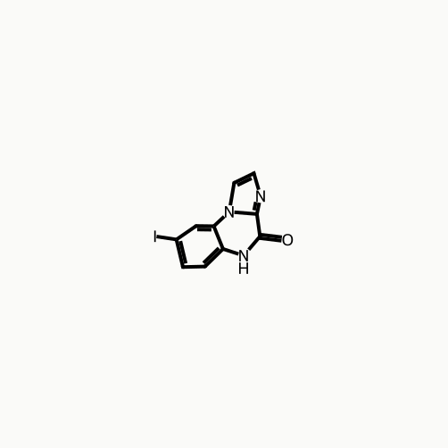 O=c1[nH]c2ccc(I)cc2n2ccnc12